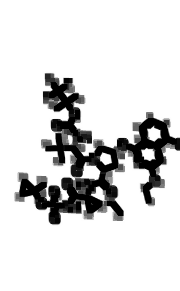 CCOc1cc2c(Cl)cccc2c(O[C@@H]2C[C@@H](C(=O)N[C@]3(C(=O)NS(=O)(=O)OC4(C)CC4)C[C@H]3CC)N(C(=O)[C@@H](NC(=O)OC(C)(C)C(F)(F)F)C(C)(C)C)C2)n1